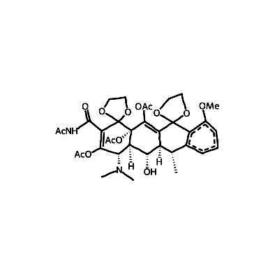 COc1cccc2c1C1(OCCO1)C1=C(OC(C)=O)[C@@]3(OC(C)=O)[C@@H]([C@@H](O)[C@@H]1[C@H]2C)[C@H](N(C)C)C(OC(C)=O)=C(C(=O)NC(C)=O)C31OCCO1